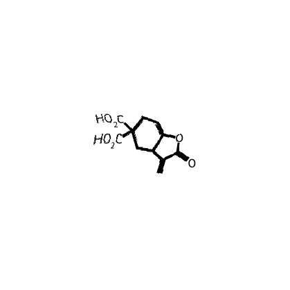 C=C1C(=O)OC2=CCC(C(=O)O)(C(=O)O)CC12